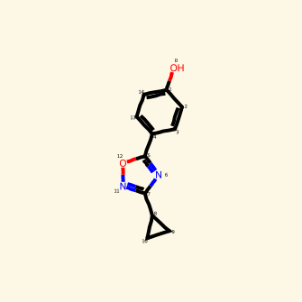 Oc1ccc(-c2nc(C3CC3)no2)cc1